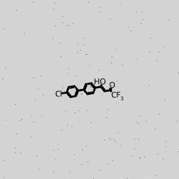 O=C(C=C(O)c1ccc(-c2ccc(Cl)cc2)cc1)C(F)(F)F